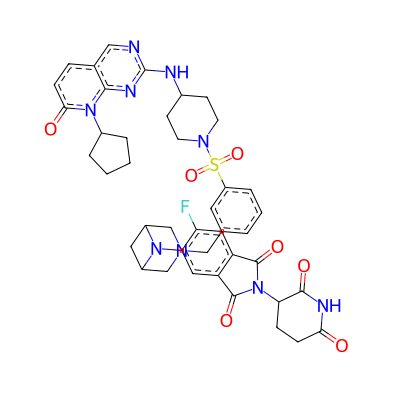 O=C1CCC(N2C(=O)c3cc(F)c(N4C5CC4CN(Cc4cccc(S(=O)(=O)N6CCC(Nc7ncc8ccc(=O)n(C9CCCC9)c8n7)CC6)c4)C5)cc3C2=O)C(=O)N1